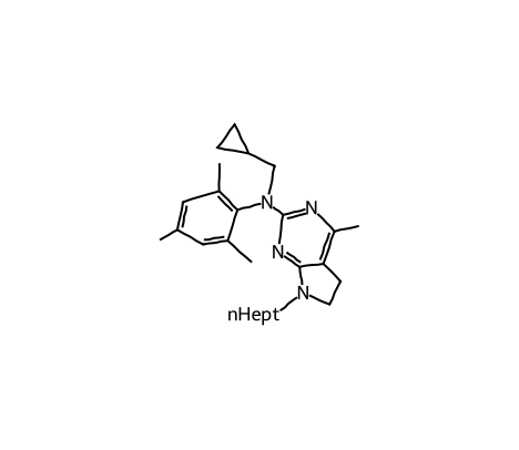 CCCCCCCN1CCc2c(C)nc(N(CC3CC3)c3c(C)cc(C)cc3C)nc21